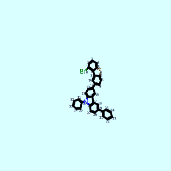 Brc1cccc2sc3ccc(-c4ccc5c(c4)c4cc(-c6ccccc6)ccc4n5-c4ccccc4)cc3c12